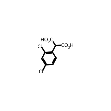 O=C(O)C(C(=O)O)c1ccc(Cl)cc1Cl